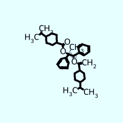 C=C(O[C@H](c1ccccc1)[C@](C)(OC(=O)C1CCC(C(C)C)CC1)c1ccccc1)C1CCC(C(C)C)CC1